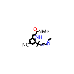 C=C/N=C\C=C\C(C)(C)c1cc(C#N)cc2cc(C(=O)NC)[nH]c12